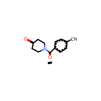 C=C.N#Cc1ccc(C(=O)N2CCC(=O)CC2)cc1